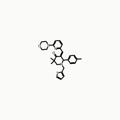 Cc1ccc(C2/C(=C/c3cccc(N4CCOCC4)n3)C(=O)C(C)(C)CN2Cc2cccs2)cc1